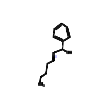 CCCC/C=C/C(O)c1ccccc1